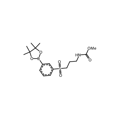 COC(=O)NCCCS(=O)(=O)c1cccc(B2OC(C)(C)C(C)(C)O2)c1